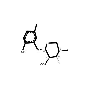 CC(=O)O[C@H]1[C@H](Oc2cc(C)ccc2O)OC[C@@H](C)[C@@H]1C